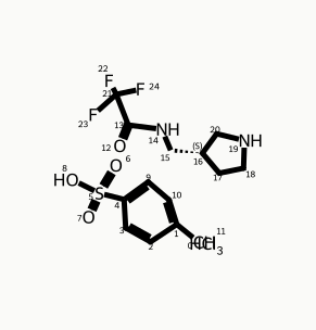 Cc1ccc(S(=O)(=O)O)cc1.Cl.O=C(NC[C@H]1CCNC1)C(F)(F)F